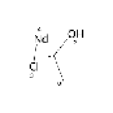 CCO.[Cl][Nd]